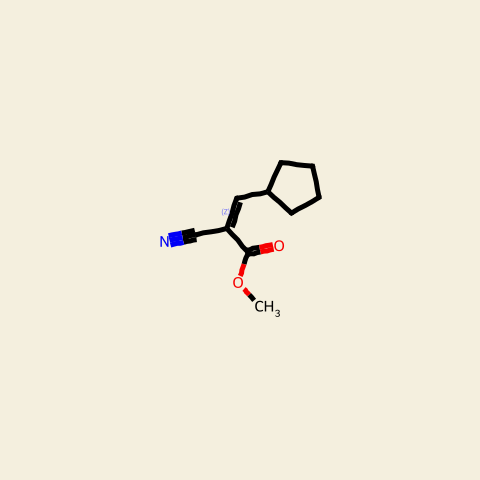 COC(=O)/C(C#N)=C\C1CCCC1